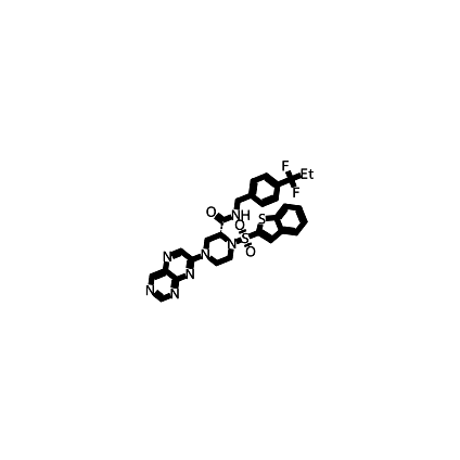 CCC(F)(F)c1ccc(CNC(=O)[C@H]2CN(c3cnc4cncnc4n3)CCN2S(=O)(=O)c2cc3ccccc3s2)cc1